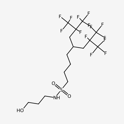 O=S(=O)(CCCCC(CC(F)(C(F)(F)F)C(F)(F)F)CC(F)(C(F)(F)F)C(F)(F)F)NCCCO